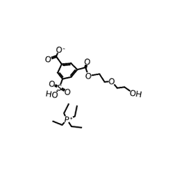 CC[P+](CC)(CC)CC.O=C([O-])c1cc(C(=O)OCCOCCO)cc(S(=O)(=O)O)c1